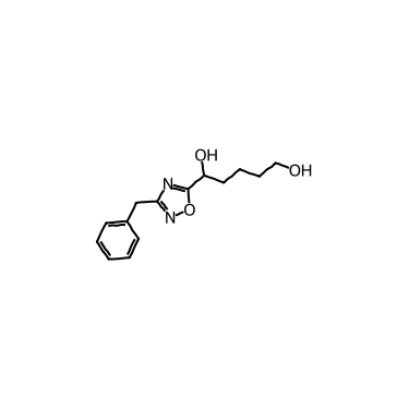 OCCCCC(O)c1nc(Cc2ccccc2)no1